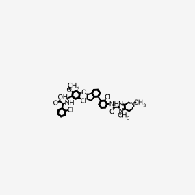 COc1cc(OC2CCc3c(-c4cccc(NC(=O)c5nc6c(n5C)CCN(C)C6)c4Cl)cccc32)c(Cl)cc1CNC(C(=O)O)c1ccccc1Cl